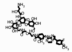 COc1ccc(-c2cnc3c(Nc4ccc(C(=O)NCCOCC(=O)NC[C@H]5O[C@@H](OC6[C@@H](O)[C@@H](OC7C[C@@H](CO)[C@H](O)[C@H](O)[C@@H]7O)CC[C@H]6NC(=O)C(O)CCN)[C@@H](O)[C@@H](O)[C@H]5O)c(C)c4)nccn23)cc1F